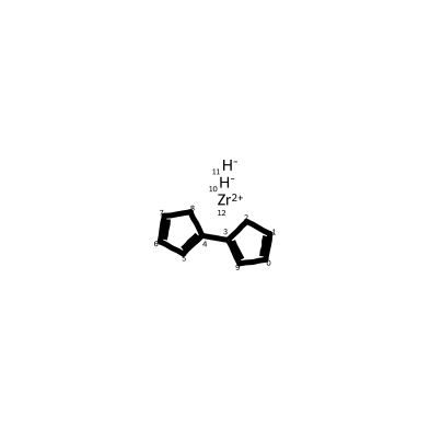 C1=CCC(C2=CC=CC2)=C1.[H-].[H-].[Zr+2]